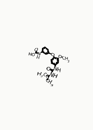 COc1cc(NC(=O)NN(C)C)ccc1Oc1cccc(NC(=O)O)c1